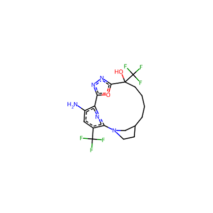 Nc1cc(C(F)(F)F)c2nc1-c1nnc(o1)C(O)(C(F)(F)F)CCCCC1CCN2C1